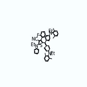 CCN(c1ccccc1)c1sc(C(=C2C=CC(=[N+](CC)c3c(C)cccc3C)C=C2)c2ccc(N(CC)c3c(C)cccc3C)cc2)c(-c2ccccc2F)c1C#N